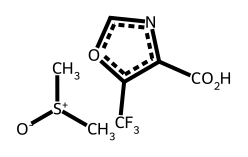 C[S+](C)[O-].O=C(O)c1ncoc1C(F)(F)F